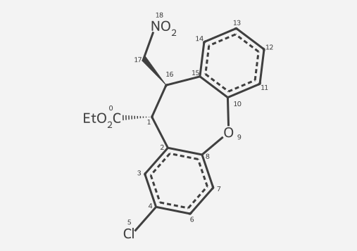 CCOC(=O)[C@H]1c2cc(Cl)ccc2Oc2ccccc2[C@@H]1C[N+](=O)[O-]